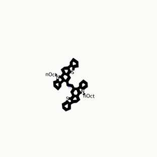 CCCCCCCCn1c2ccccc2c2c(/C=C/c3cc4c(ccc5c6ccccc6sc54)c4c3c3ccccc3n4CCCCCCCC)cc3c(ccc4c5ccccc5sc43)c21